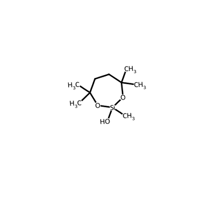 CC1(C)CCC(C)(C)O[Si](C)(O)O1